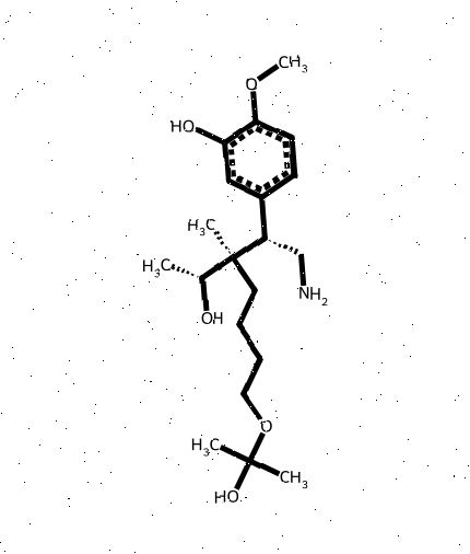 COc1ccc([C@H](CN)[C@@](C)(CCCCOC(C)(C)O)[C@@H](C)O)cc1O